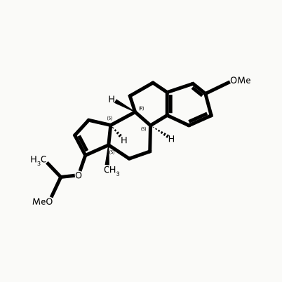 COc1ccc2c(c1)CC[C@@H]1[C@@H]2CC[C@]2(C)C(OC(C)OC)=CC[C@@H]12